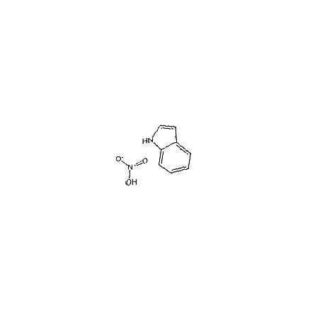 O=[N+]([O-])O.c1ccc2[nH]ccc2c1